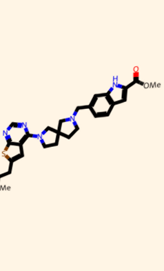 COCCc1cc2c(N3CCC4(CCN(Cc5ccc6cc(C(=O)OC)[nH]c6c5)C4)C3)ncnc2s1